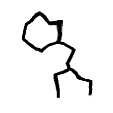 CCC(CC)C[C]1CCCCC1